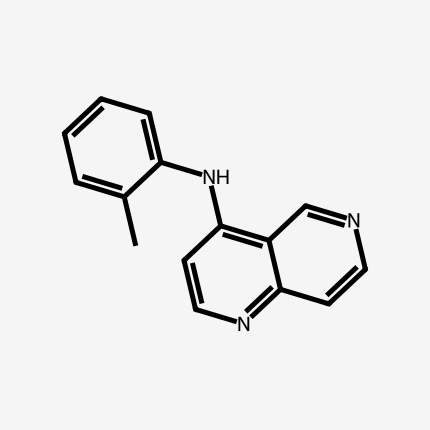 Cc1ccccc1Nc1ccnc2ccncc12